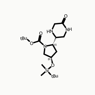 CC(C)(C)OC(=O)N1C[C@H](O[Si](C)(C)C(C)(C)C)C[C@H]1C1CNC(=O)CN1